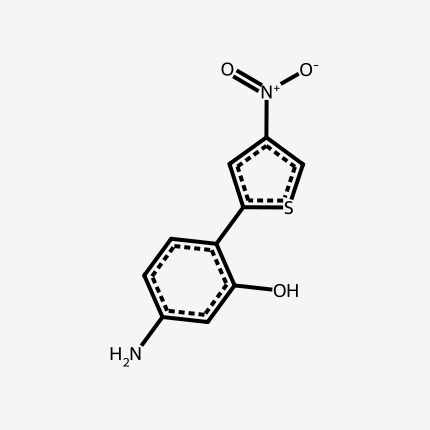 Nc1ccc(-c2cc([N+](=O)[O-])cs2)c(O)c1